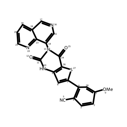 COc1ccc(C#N)c(-c2cc3[nH]c(=O)n(-c4cncc5cccnc45)c(=O)c3s2)c1